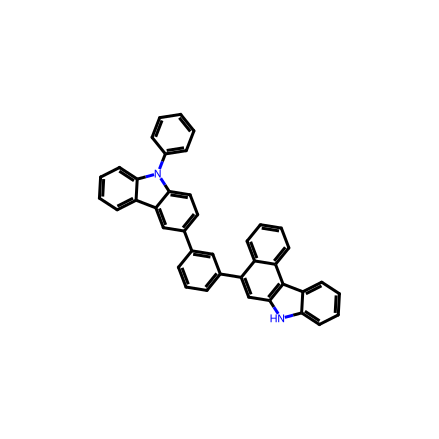 c1ccc(-n2c3ccccc3c3cc(-c4cccc(-c5cc6[nH]c7ccccc7c6c6ccccc56)c4)ccc32)cc1